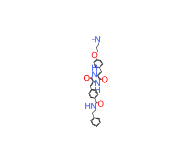 CN(C)CCCOc1ccc(C=c2[nH]c(=O)c(=Cc3ccc(C(=O)NCCc4ccccc4)cc3)[nH]c2=O)cc1